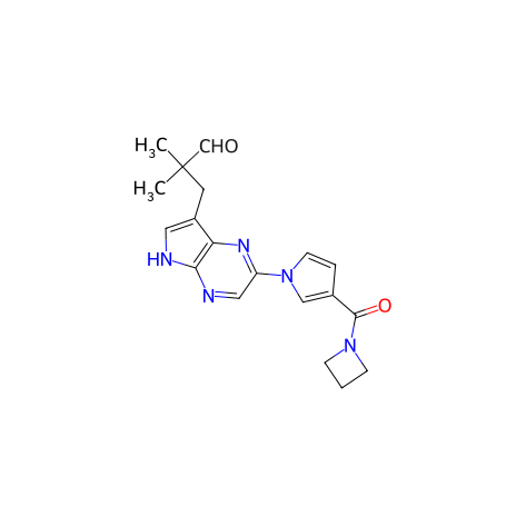 CC(C)(C=O)Cc1c[nH]c2ncc(-n3ccc(C(=O)N4CCC4)c3)nc12